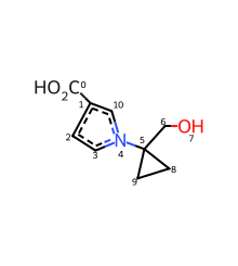 O=C(O)c1ccn(C2(CO)CC2)c1